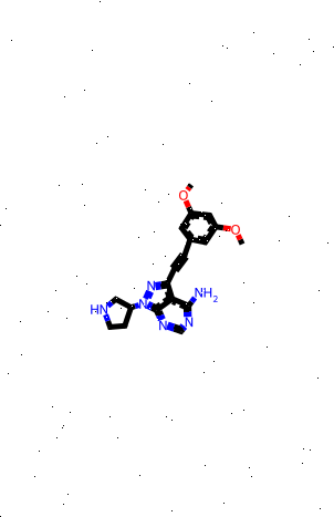 COc1cc(C#Cc2nn(C3CCNC3)c3ncnc(N)c23)cc(OC)c1